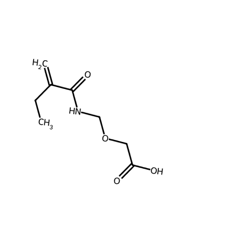 C=C(CC)C(=O)NCOCC(=O)O